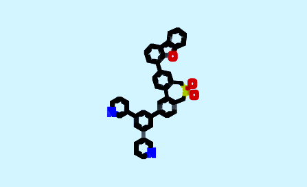 O=S1(=O)Cc2cc(-c3cccc4c3oc3ccccc34)ccc2-c2cc(-c3cc(-c4cccnc4)cc(-c4cccnc4)c3)ccc2C1